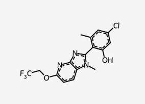 Cc1cc(Cl)cc(O)c1-c1nc2nc(OCC(F)(F)F)ccc2n1C